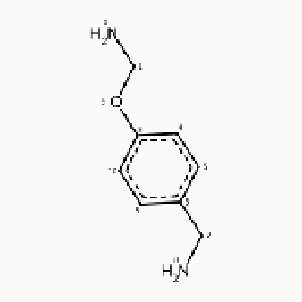 NCOc1ccc(CN)cc1